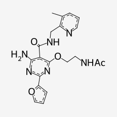 CC(=O)NCCOc1nc(-c2ccco2)nc(N)c1C(=O)NCc1ncccc1C